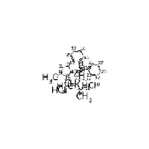 CC1=CC[C]([Zr]([C]2=C(C)C(C)=CC2)[SiH](c2ccccc2)c2ccccc2)=C1C.Cl.Cl